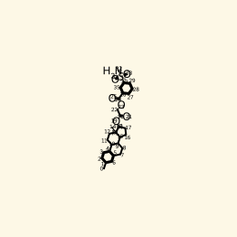 Cc1ccc2c(c1)CCC1C2CC[C@@]2(C)C1CC[C@@H]2OC(=O)COC(=O)c1cccc(S(N)(=O)=O)c1